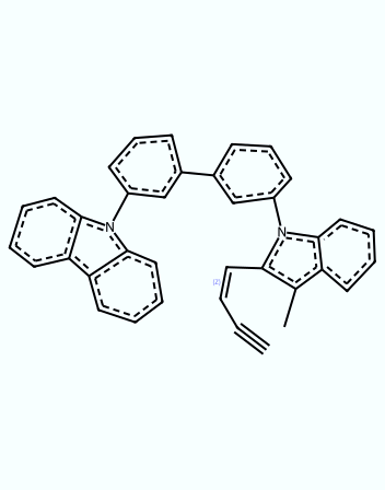 C#C/C=C\c1c(C)c2ccccc2n1-c1cccc(-c2cccc(-n3c4ccccc4c4ccccc43)c2)c1